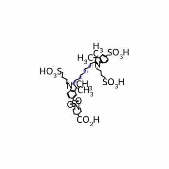 CC1(C)C(/C=C/C=C/C=C/C=C2/N(CCCCS(=O)(=O)O)c3ccc(S(=O)(=O)N4CCC(C(=O)O)CC4)cc3C2(C)C)=[N+](CCCCS(=O)(=O)O)c2ccc(S(=O)(=O)O)cc21